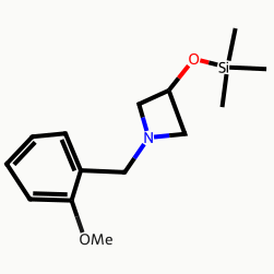 COc1ccccc1CN1CC(O[Si](C)(C)C)C1